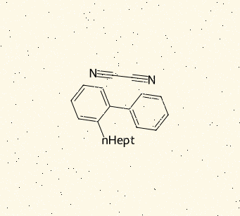 CCCCCCCc1ccccc1-c1ccccc1.N#CC#N